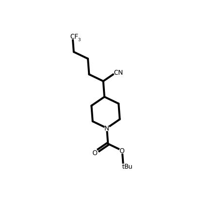 CC(C)(C)OC(=O)N1CCC(C(C#N)CCCC(F)(F)F)CC1